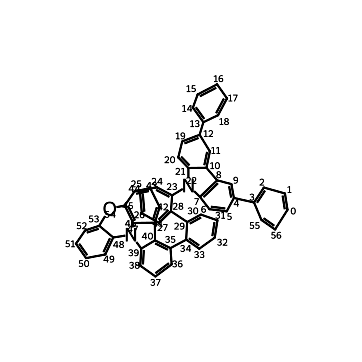 c1ccc(-c2ccc3c(c2)c2cc(-c4ccccc4)ccc2n3-c2ccccc2-c2ccccc2-c2cccc3c2c2cccc4c2n3-c2ccccc2O4)cc1